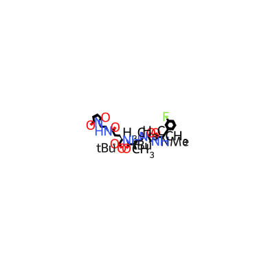 CN[C@H](C(=O)NC(C(=O)N(C)C/C=C(\C)C(=O)N[C@H](CCC(=O)NCCN1C(=O)C=CC1=O)C(=O)OC(C)(C)C)C(C)(C)C)C(C)(C)c1cccc(F)c1